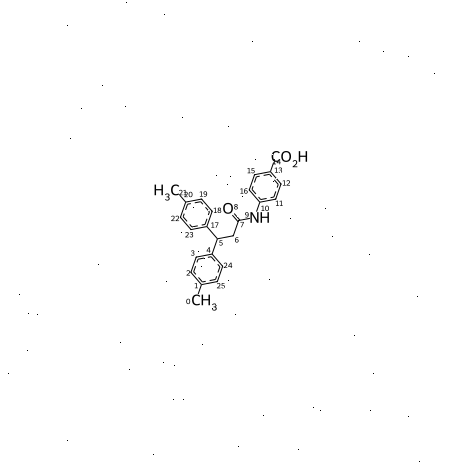 Cc1ccc(C(CC(=O)Nc2ccc(C(=O)O)cc2)c2ccc(C)cc2)cc1